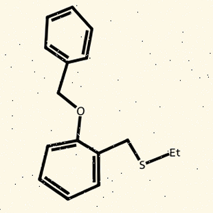 [CH2]CSCc1ccccc1OCc1[c]cccc1